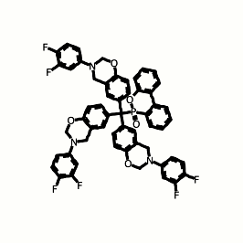 O=P1(C(c2ccc3c(c2)CN(c2ccc(F)c(F)c2)CO3)(c2ccc3c(c2)CN(c2ccc(F)c(F)c2)CO3)c2ccc3c(c2)CN(c2ccc(F)c(F)c2)CO3)Oc2ccccc2-c2ccccc21